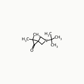 CC(C)(C)N1CC2(C1)C(=O)C2(C)C